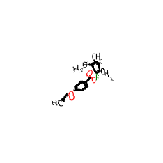 Bc1c(C)cc(C)c(F)c1OC(=O)c1ccc(OCC#C)cc1